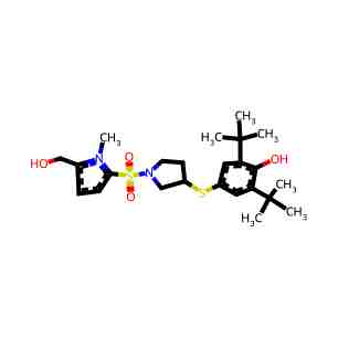 Cn1c(CO)ccc1S(=O)(=O)N1CCC(Sc2cc(C(C)(C)C)c(O)c(C(C)(C)C)c2)C1